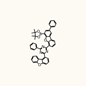 CC1(C)OB(c2cc(-c3ccccc3)cc3c2oc2c(-c4nc(-c5ccccc5)nc(-c5cccc6oc7ccccc7c56)n4)cccc23)OC1(C)C